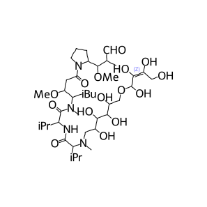 CCC(C)C(C(CC(=O)N1CCCC1C(OC)C(C)C=O)OC)N(C)C(=O)C(NC(=O)C(C(C)C)N(C)CC(O)C(O)C(O)C(O)COC(O)/C(O)=C(/O)CO)C(C)C